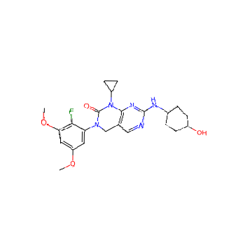 COc1cc(OC)c(F)c(N2Cc3cnc(NC4CCC(O)CC4)nc3N(C3CC3)C2=O)c1